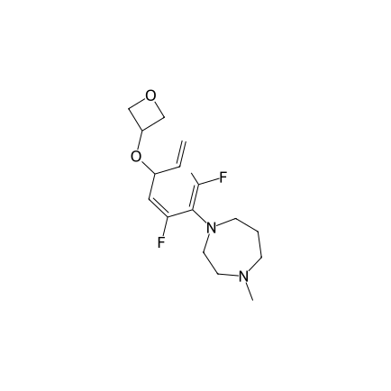 C=CC(/C=C(F)\C(=C(/C)F)N1CCCN(C)CC1)OC1COC1